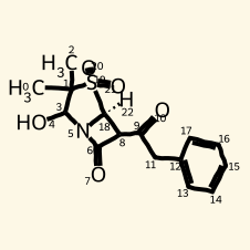 CC1(C)C(O)N2C(=O)C(C(=O)Cc3ccccc3)[C@@H]2S1(=O)=O